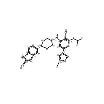 CC(C)Cn1cc(-c2cnn(C)c2)cc(N[C@H]2CC[C@@H](c3ccc4[nH]c(=O)oc4c3)CC2)c1=O